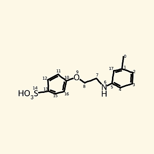 Cc1cccc(NCCOc2ccc(S(=O)(=O)O)cc2)c1